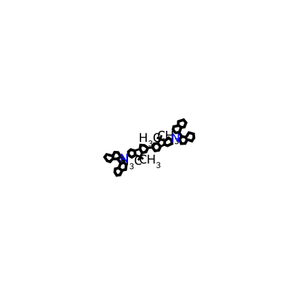 CC1(C)c2cc(-c3ccc4c(c3)C(C)(C)c3cc(-n5c6ccc7ccccc7c6c6c7ccccc7ccc65)ccc3-4)ccc2-c2ccc(-n3c4ccc5ccccc5c4c4c5ccccc5ccc43)cc21